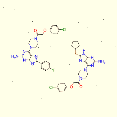 Cn1c(-c2ccc(F)cc2)nc2c(N3CCN(C(=O)COc4ccc(Cl)cc4)CC3)nc(N)nc21.Nc1nc(N2CCN(C(=O)COc3ccc(Cl)cc3)CC2)c2nc(SC3CCCC3)[nH]c2n1